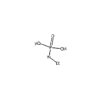 CC[N]P(=O)(O)O